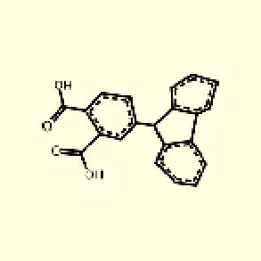 O=C(O)c1ccc(C2c3ccccc3-c3ccccc32)cc1C(=O)O